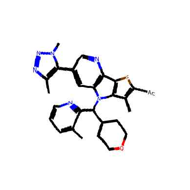 CC(=O)c1sc2c3ncc(-c4c(C)nnn4C)cc3n(C(c3ncccc3C)C3CCOCC3)c2c1C